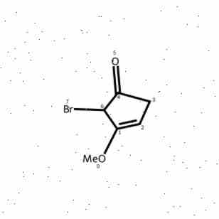 COC1=CCC(=O)C1Br